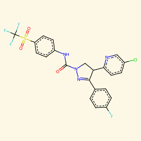 O=C(Nc1ccc(S(=O)(=O)C(F)(F)F)cc1)N1CC(c2ccc(Cl)cn2)C(c2ccc(F)cc2)=N1